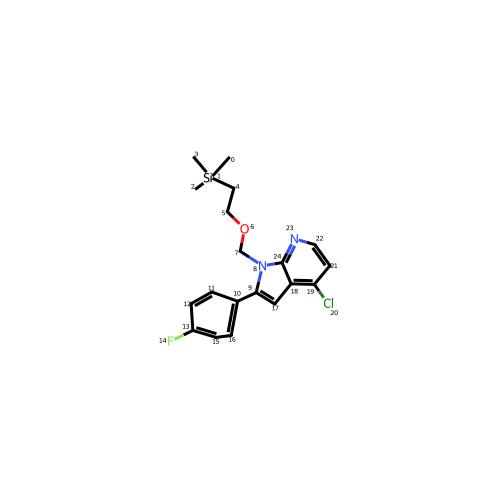 C[Si](C)(C)CCOCn1c(-c2ccc(F)cc2)cc2c(Cl)ccnc21